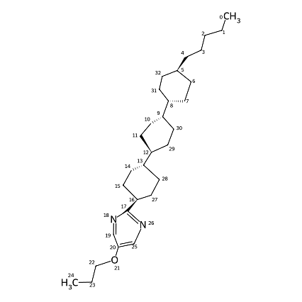 CCCCC[C@H]1CC[C@H]([C@H]2CC[C@H]([C@H]3CC[C@H](c4ncc(OCCC)cn4)CC3)CC2)CC1